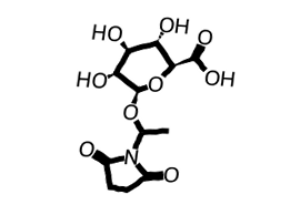 CC(O[C@@H]1O[C@H](C(=O)O)[C@@H](O)[C@H](O)[C@H]1O)N1C(=O)CCC1=O